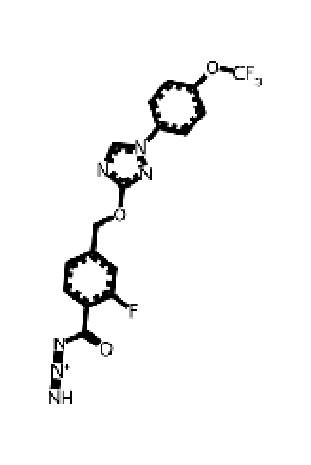 N=[N+]=NC(=O)c1ccc(COc2ncn(-c3ccc(OC(F)(F)F)cc3)n2)cc1F